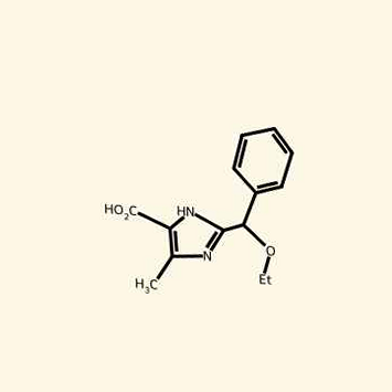 CCOC(c1ccccc1)c1nc(C)c(C(=O)O)[nH]1